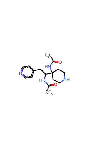 O=C(NC(Cc1ccncc1)C1(NC(=O)C(F)(F)F)CCNCC1)C(F)(F)F